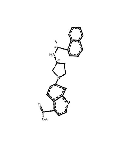 C[C@@H](N[C@H]1CCN(c2ccc3c(C(=O)O)ccnc3c2)C1)c1cccc2ccccc12